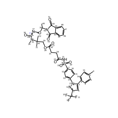 Cc1ccc(-c2cc(C(F)(F)F)nn2-c2ccc(S(=O)(=O)NC(=O)CCC(=O)OCC(C)(C)N(C)/[N+]([O-])=N\OC(C)N3C(=O)c4ccccc4C3=O)cc2)cc1